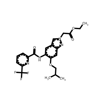 CCOC(=O)Cn1cc2cc(NC(=O)c3cccc(C(F)(F)F)n3)c(OCC(C)C)cc2n1